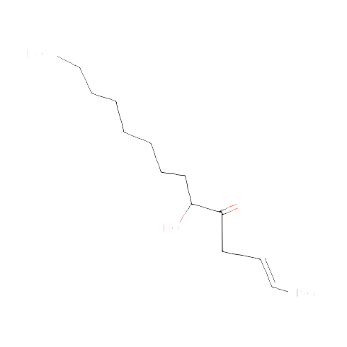 CCCCCC=CCC(=O)C(O)CCCCCCCC(=O)O